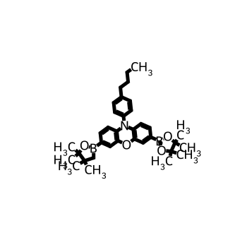 CCCCc1ccc(N2c3ccc(B4CC(C)(C)C(C)(C)O4)cc3Oc3cc(B4OC(C)(C)C(C)(C)O4)ccc32)cc1